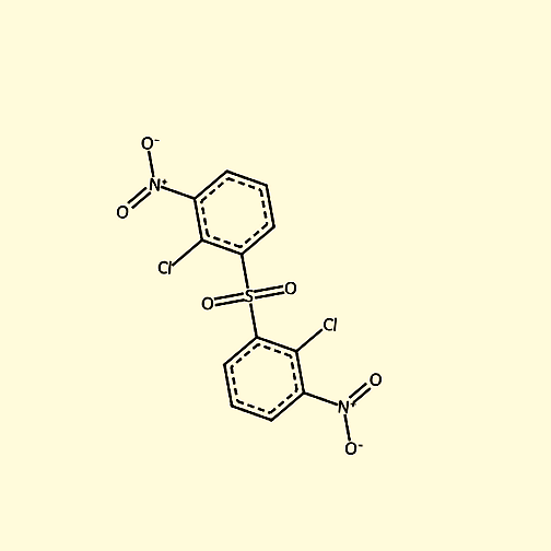 O=[N+]([O-])c1cccc(S(=O)(=O)c2cccc([N+](=O)[O-])c2Cl)c1Cl